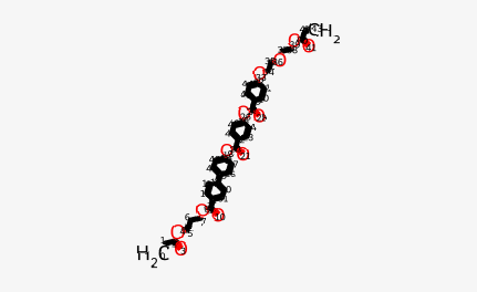 C=CC(=O)OCCCOC(=O)c1ccc(-c2ccc(OC(=O)c3ccc(OC(=O)c4ccc(OCCOCCOC(=O)C=C)cc4)cc3)cc2)cc1